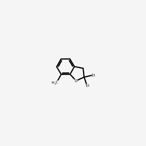 CCC1(CC)Cc2cccc(C)c2O1